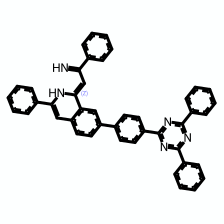 N=C(/C=C1\NC(c2ccccc2)=Cc2ccc(-c3ccc(-c4nc(-c5ccccc5)nc(-c5ccccc5)n4)cc3)cc21)c1ccccc1